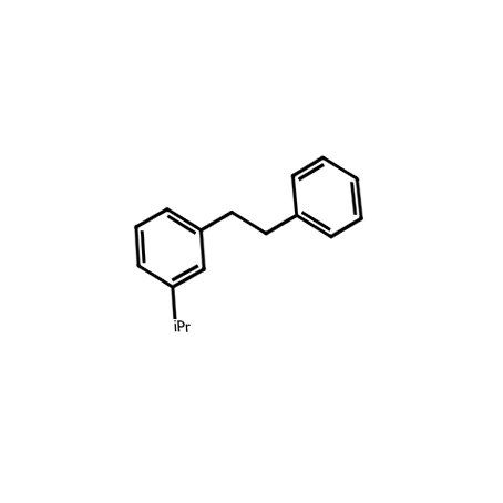 [CH2]C(C)c1cccc(CCc2ccccc2)c1